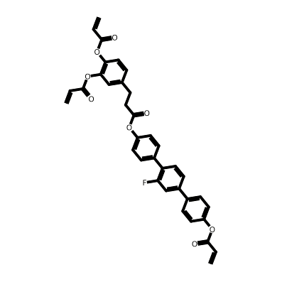 C=CC(=O)Oc1ccc(-c2ccc(-c3ccc(OC(=O)CCc4ccc(OC(=O)C=C)c(OC(=O)C=C)c4)cc3)c(F)c2)cc1